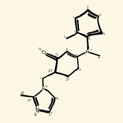 Cc1ccccc1N(C)C1=CC(=O)C(Cn2ccnc2C)CC1